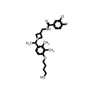 Cc1c(OCCCCO)ccc(C(C)N2CC(CNC(=O)c3ccc(F)c(Cl)c3)C2)c1C